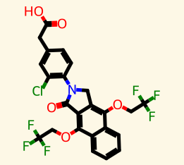 O=C(O)Cc1ccc(N2Cc3c(c(OCC(F)(F)F)c4ccccc4c3OCC(F)(F)F)C2=O)c(Cl)c1